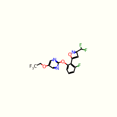 Fc1cccc(Oc2ncc(OCC(F)(F)F)cn2)c1-c1cc(C(F)F)no1